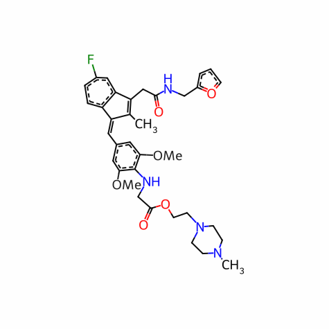 COc1cc(C=C2C(C)=C(CC(=O)NCc3ccco3)c3cc(F)ccc32)cc(OC)c1NCC(=O)OCCN1CCN(C)CC1